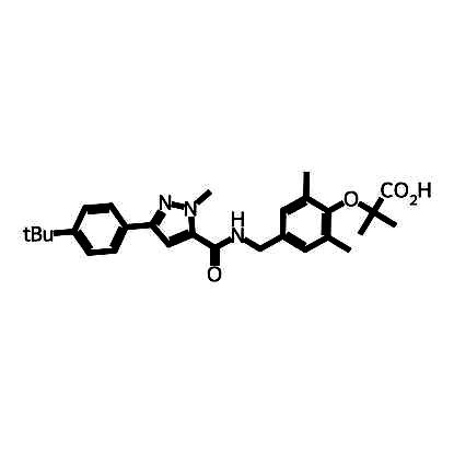 Cc1cc(CNC(=O)c2cc(-c3ccc(C(C)(C)C)cc3)nn2C)cc(C)c1OC(C)(C)C(=O)O